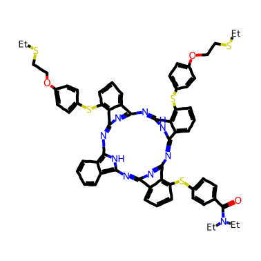 CCSCCOc1ccc(Sc2cccc3c2-c2nc-3nc3[nH]c(nc4nc(nc5[nH]c(n2)c2ccccc52)-c2cccc(Sc5ccc(C(=O)N(CC)CC)cc5)c2-4)c2cccc(Sc4ccc(OCCSCC)cc4)c32)cc1